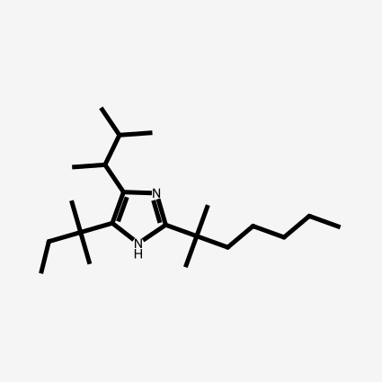 CCCCCC(C)(C)c1nc(C(C)C(C)C)c(C(C)(C)CC)[nH]1